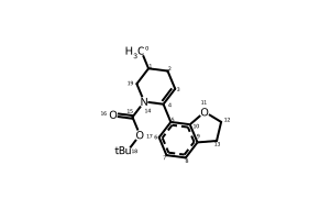 CC1CC=C(c2cccc3c2OCC3)N(C(=O)OC(C)(C)C)C1